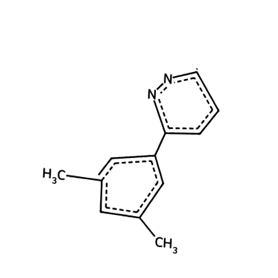 Cc1cc(C)cc(-c2cc[c]nn2)c1